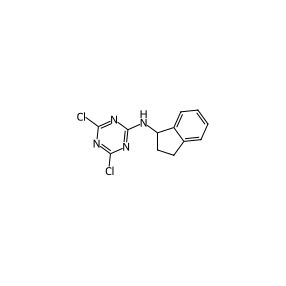 Clc1nc(Cl)nc(NC2CCc3ccccc32)n1